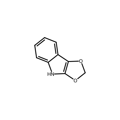 c1ccc2c3c([nH]c2c1)OCO3